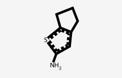 Nc1cc2c(s1)CCC2